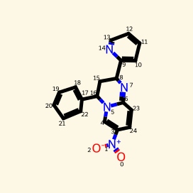 O=[N+]([O-])C1=CN2C(=NC(c3ccccn3)CC2c2ccccc2)C=C1